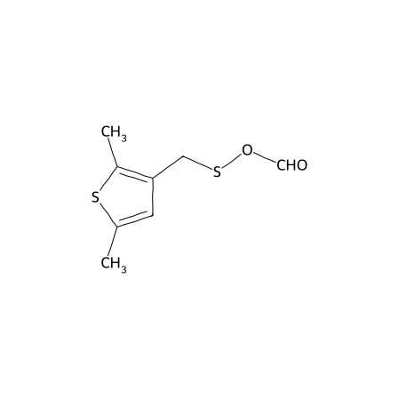 Cc1cc(CSOC=O)c(C)s1